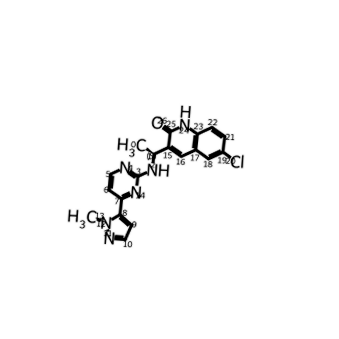 C[C@H](Nc1nccc(-c2ccnn2C)n1)c1cc2cc(Cl)ccc2[nH]c1=O